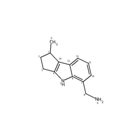 CC1CCc2[nH]c3c(CN)cccc3c21